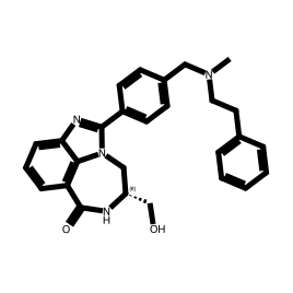 CN(CCc1ccccc1)Cc1ccc(-c2nc3cccc4c3n2C[C@H](CO)NC4=O)cc1